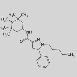 CCCCCN1N=C(C(=O)NC2CC(C)(C)N(C)C(C)(C)C2)CC1c1ccccc1